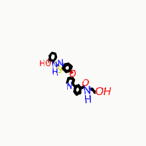 O=C(NCCO)c1cccc(-c2cc(Oc3ccc4nc(N[C@@H]5CCCC[C@H]5O)sc4c3)ccn2)c1